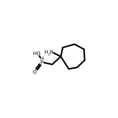 NC1(C[PH](=O)O)CCCCCC1